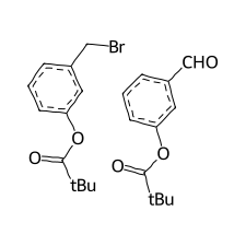 CC(C)(C)C(=O)Oc1cccc(C=O)c1.CC(C)(C)C(=O)Oc1cccc(CBr)c1